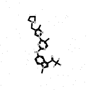 Cc1cnc(Nc2ccc3c(c2)c(C(=O)C(F)(F)F)cn3C)nc1-n1cc(CN2CCCO2)c(C)n1